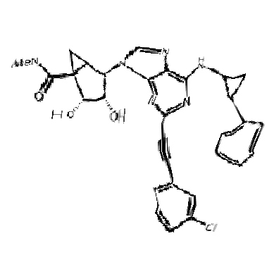 CNC(=O)C12CC1[C@@H](n1cnc3c(NC4C[C@H]4c4ccccc4)nc(C#Cc4cccc(Cl)c4)nc31)[C@H](O)[C@@H]2O